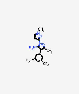 Cn1ccc(-n2nc(C(F)(F)F)c(-c3cc(C(F)(F)F)cc(C(F)(F)F)c3)c2N)n1